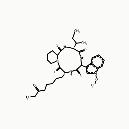 CCC(=O)CCCCC[C@@H]1NC(=O)C(c2cn(OC)c3ccccc23)NC(=O)[C@H](C(C)CC)NC(=O)C2CCCCN2C1=O